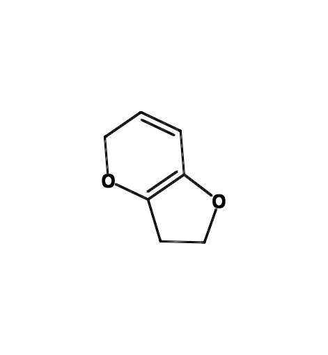 C1=CC2=C(CCO2)OC1